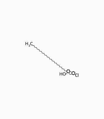 CCCCCCCCCCCCCCCCCCCCCCCCCCCCc1ccc2c(c1CO)Cc1cc(Cl)ccc1-2